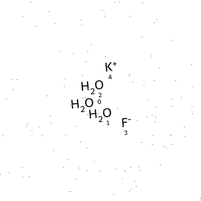 O.O.O.[F-].[K+]